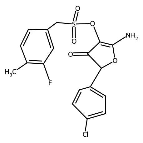 Cc1ccc(CS(=O)(=O)OC2=C(N)OC(c3ccc(Cl)cc3)C2=O)cc1F